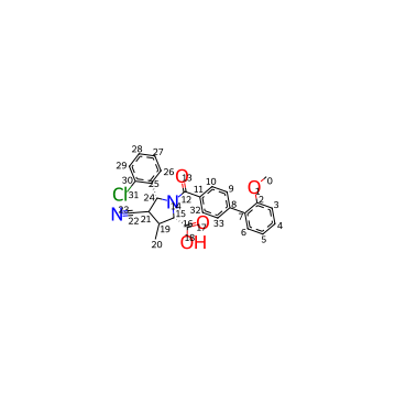 COc1ccccc1-c1ccc(C(=O)N2[C@H](C(=O)O)C(C)C(C#N)[C@@H]2c2ccccc2Cl)cc1